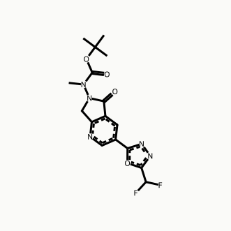 CN(C(=O)OC(C)(C)C)N1Cc2ncc(-c3nnc(C(F)F)o3)cc2C1=O